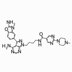 CN1CCN(c2ncc(C(=O)NCCCCn3nc(-c4ccc5oc(N)nc5c4)c4c(N)ncnc43)cn2)CC1